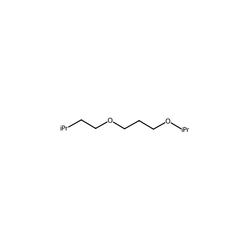 CC(C)CCOCCCOC(C)C